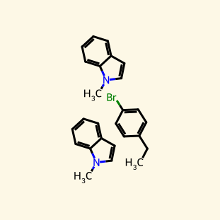 CCc1ccc(Br)cc1.Cn1ccc2ccccc21.Cn1ccc2ccccc21